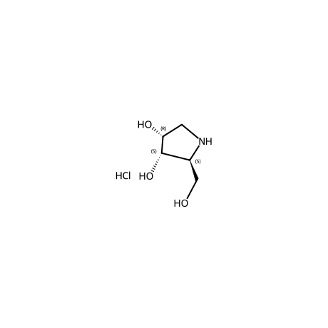 Cl.OC[C@@H]1NC[C@@H](O)[C@H]1O